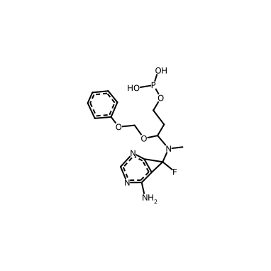 CN(C(CCOP(O)O)OCOc1ccccc1)C1(F)c2ncnc(N)c21